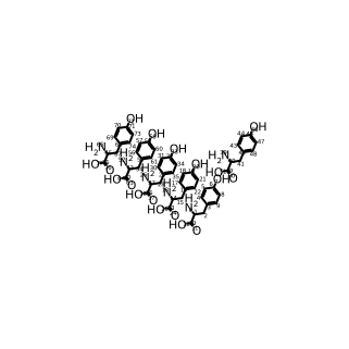 NC(Cc1ccc(O)cc1)C(=O)O.NC(Cc1ccc(O)cc1)C(=O)O.NC(Cc1ccc(O)cc1)C(=O)O.NC(Cc1ccc(O)cc1)C(=O)O.NC(Cc1ccc(O)cc1)C(=O)O.NC(Cc1ccc(O)cc1)C(=O)O